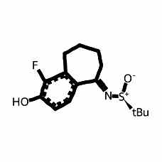 CC(C)(C)[S@+]([O-])/N=C1\CCCCc2c1ccc(O)c2F